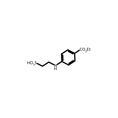 CCOC(=O)c1ccc(NCCS(=O)(=O)O)cc1